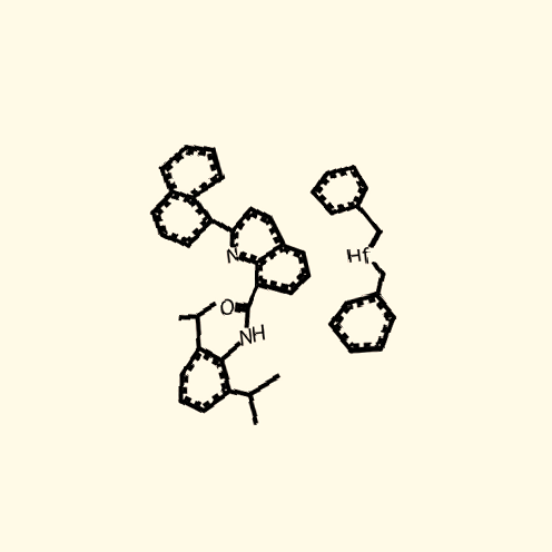 CC(C)c1cccc(C(C)C)c1NC(=O)c1cccc2ccc(-c3cccc4ccccc34)nc12.c1ccc([CH2][Hf][CH2]c2ccccc2)cc1